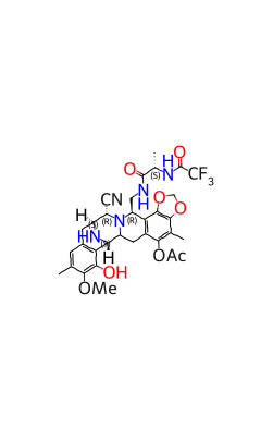 COc1c(C)cc2c(c1O)[C@@H]1N[C@@H](C2)[C@H](C#N)N2C1Cc1c(OC(C)=O)c(C)c3c(c1[C@@H]2CNC(=O)[C@H](C)NC(=O)C(F)(F)F)OCO3